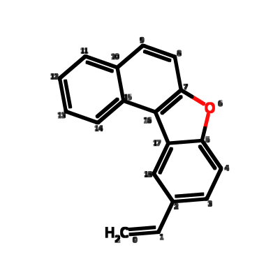 C=Cc1ccc2oc3ccc4ccccc4c3c2c1